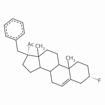 CC(=O)[C@@]1(Cc2ccccc2)CCC2C3CC=C4C[C@@H](F)CCC4(C)C3CCC21C